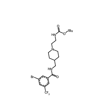 CC(C)(C)OC(=O)NCCN1CCC(CNC(=O)c2cc(Br)cc(C(F)(F)F)c2)CC1